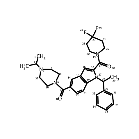 CC(C)N1CCN(C(=O)c2ccc3c(c2)cc(C(=O)N2CCC(F)(F)CC2)n3C(C)c2ccccc2)CC1